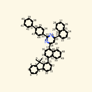 CC1(C)c2ccccc2-c2cccc(-c3ccc(-c4cc(-c5cccc6ccccc56)nc(-c5ccc(-c6ccccc6)cc5)n4)c4ccccc34)c21